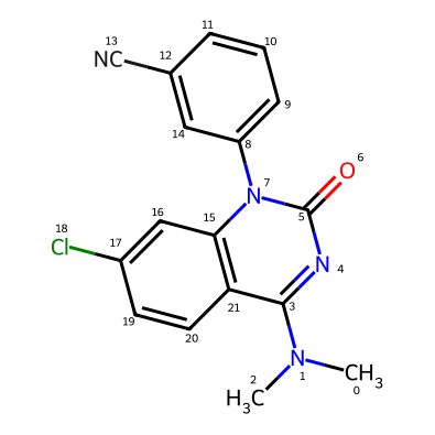 CN(C)c1nc(=O)n(-c2cccc(C#N)c2)c2cc(Cl)ccc12